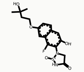 CC(C)(O)CCOc1ccc2cc(O)c(N3CC(=O)N[S+]3[O-])c(F)c2c1